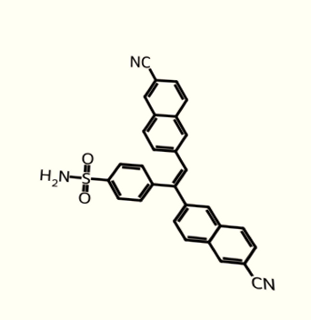 N#Cc1ccc2cc(/C=C(\c3ccc(S(N)(=O)=O)cc3)c3ccc4cc(C#N)ccc4c3)ccc2c1